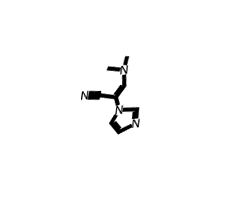 CN(C)C=C(C#N)n1ccnc1